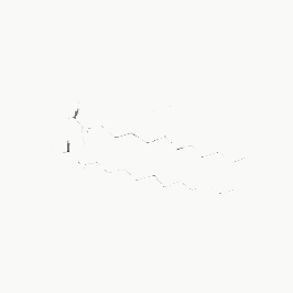 CCCCCCCCCCCNC(=S)[S-].CCCCCCCCCCCNC(=S)[S-].[Zn+2]